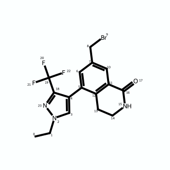 CCn1cc(-c2cc(CBr)cc3c2CCNC3=O)c(C(F)(F)F)n1